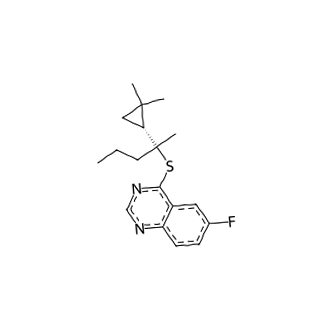 CCCC(C)(Sc1ncnc2ccc(F)cc12)[C@@H]1CC1(C)C